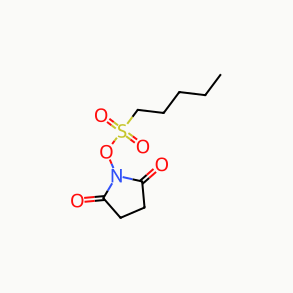 CCCCCS(=O)(=O)ON1C(=O)CCC1=O